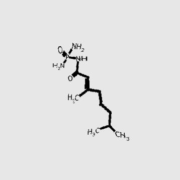 C/C(=C\C(=O)NP(N)(N)=O)CCCC(C)C